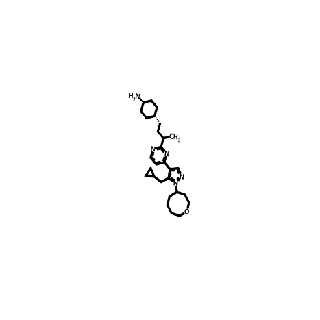 CC(CC[C@H]1CC[C@H](N)CC1)c1nccc(-c2cnn(C3CCCCOCC3)c2CC2CC2)n1